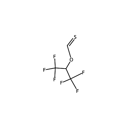 FC(F)(F)C(OC=S)C(F)(F)F